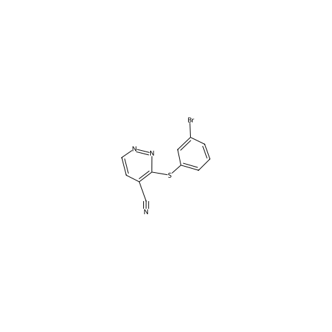 N#Cc1ccnnc1Sc1cccc(Br)c1